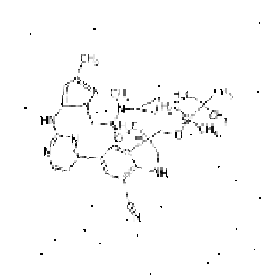 Cc1cc(Nc2nccc(-c3cc(C#N)c4c(c3)[C@@](C)(CO[Si](C)(C)C(C)(C)C)CN4)n2)n(CC(=O)N(C)C2CC2)n1